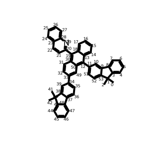 CC1(C)c2ccccc2-c2cc(-c3c4ccccc4c(-c4ccc5ccccc5n4)c4ccc(-c5ccc6c(c5)C(C)(C)c5ccccc5-6)cc34)ccc21